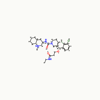 CCNC(=O)CCO[C@@H](c1cccc(Cl)c1F)[C@@H]1CCCN(C(=O)NC(CNC)CC2CCCCC2)C1